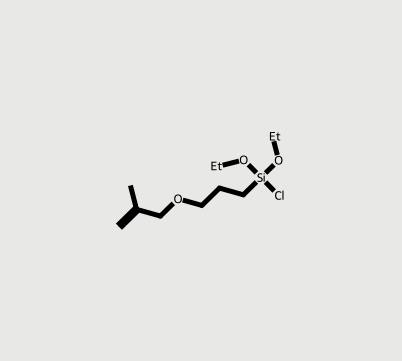 C=C(C)COCCC[Si](Cl)(OCC)OCC